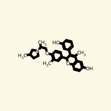 CC1=C(c2cccc(O)c2)C(c2ccc(OCC(C)N3CCC(C)C3)c(C)c2)Oc2ccc(O)cc21